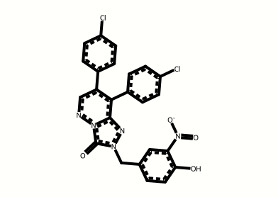 O=c1n(Cc2ccc(O)c([N+](=O)[O-])c2)nc2c(-c3ccc(Cl)cc3)c(-c3ccc(Cl)cc3)cnn12